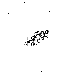 Cc1cn([C@@H]2O[C@H](CO)C(O)(C=CC#N)C2O)c(=O)[nH]c1=O